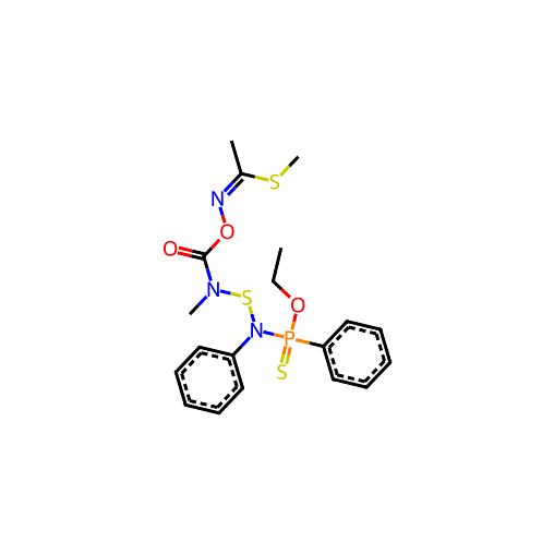 CCOP(=S)(c1ccccc1)N(SN(C)C(=O)ON=C(C)SC)c1ccccc1